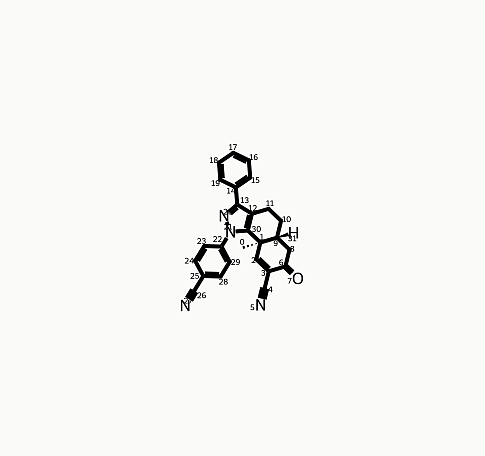 C[C@@]12C=C(C#N)C(=O)C[C@H]1CCc1c(-c3ccccc3)nn(-c3ccc(C#N)cc3)c12